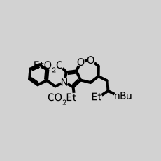 CCCCC(CC)CC1COOc2c(c(C(=O)OCC)n(Cc3ccccc3)c2C(=O)OCC)C1